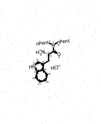 CCCCCN(CCCCC)C(=O)[C@@H](N)Cc1c[nH]c2ccccc12.Cl